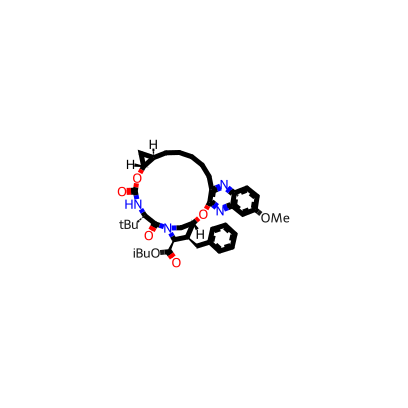 COc1ccc2nc3c(nc2c1)O[C@H]1CN(C(=O)[C@H](C(C)(C)C)NC(=O)O[C@@H]2C[C@H]2CCCCC3)[C@H](C(=O)OCC(C)C)[C@@H]1Cc1ccccc1